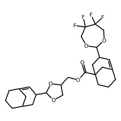 O=C(OCC1COC(C2C=C3CCCC(C3)C2)O1)C12CCCC(=CC(C3OCC(F)(F)C(F)(F)CO3)C1)C2